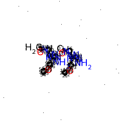 C=CC(=O)N1CCCC(n2nc(-c3ccc(Oc4ccccc4)cc3)c3c(N)ncnc32)C1.C=CC(=O)N1CCCC(n2nc(-c3ccc(Oc4ccccc4)cc3)c3c(N)ncnc32)C1